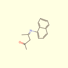 CC(=O)CC(C)=Nc1cccc2ccccc12